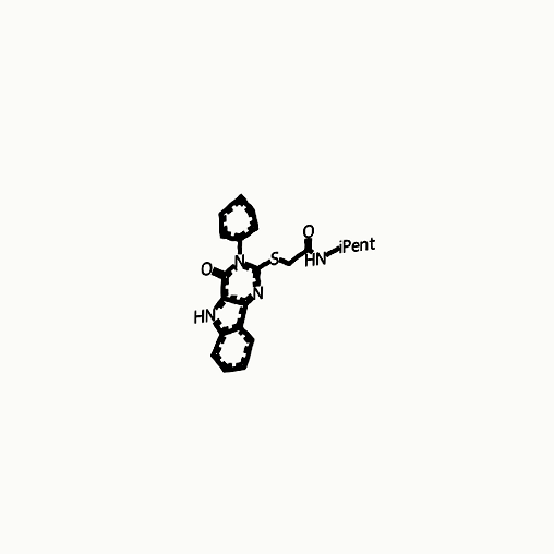 CCCC(C)NC(=O)CSc1nc2c([nH]c3ccccc32)c(=O)n1-c1ccccc1